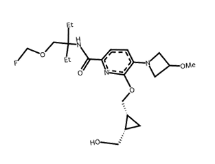 CCC(CC)(COCF)NC(=O)c1ccc(N2CC(OC)C2)c(OC[C@@H]2C[C@@H]2CO)n1